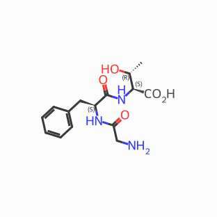 C[C@@H](O)[C@H](NC(=O)[C@H](Cc1ccccc1)NC(=O)CN)C(=O)O